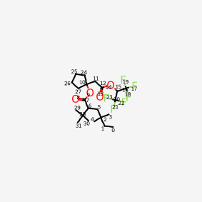 CCC(C)(C)CC(C(=O)OC1(CC(=O)OC(C(F)(F)F)C(F)(F)F)CCCC1)C(C)(C)C